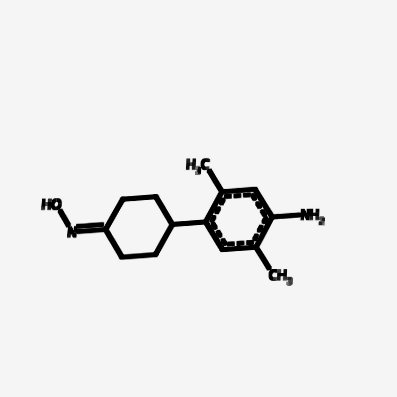 Cc1cc(C2CCC(=NO)CC2)c(C)cc1N